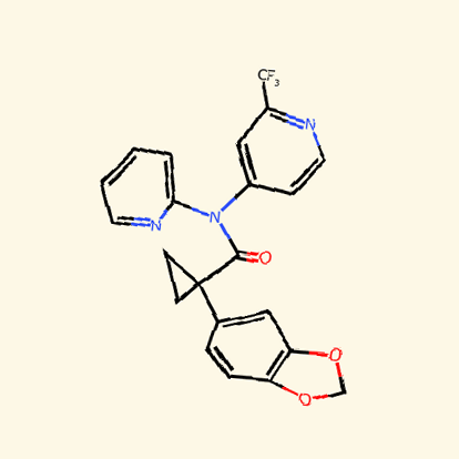 O=C(N(c1ccnc(C(F)(F)F)c1)c1ccccn1)C1(c2ccc3c(c2)OCO3)CC1